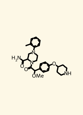 COC(C(=O)N1CCN(c2ccccc2C)CC1C(N)=O)c1ccc(OC2CCNCC2)cc1